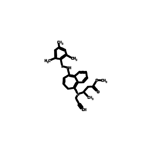 C#CCN(C1=c2ccccc2=C(NSc2c(C)cc(C)cc2C)C=CC1)C(C)CC(=O)OC